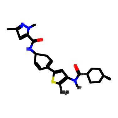 Cc1cc(C(=O)NC2C=CC(c3cc(N(C(=O)[C@H]4CC[C@H](C)CC4)C(C)C)c(C(=O)O)s3)=CC2)n(C)n1